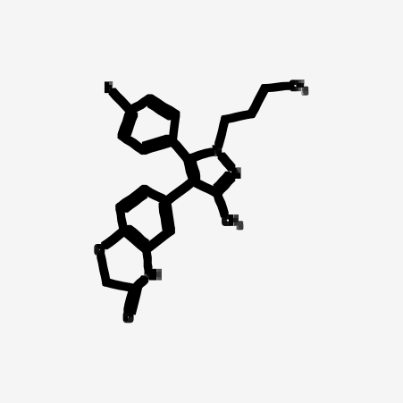 Cc1nn(CCCC(F)(F)F)c(-c2ccc(F)cc2)c1-c1ccc2c(c1)NC(=O)CO2